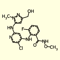 CONC(=O)c1cccc(F)c1Nc1cc(Nc2cc(CO)nn2C)ncc1Cl